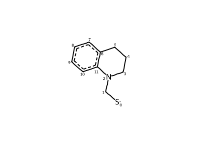 [S]CN1CCCc2ccccc21